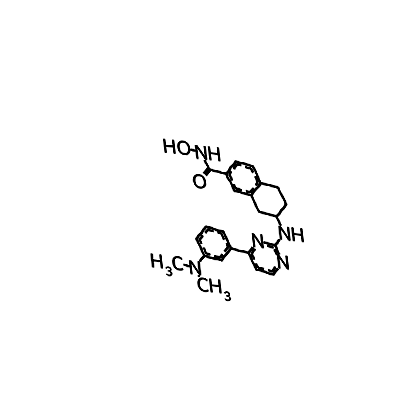 CN(C)c1cccc(-c2ccnc(NC3CCc4ccc(C(=O)NO)cc4C3)n2)c1